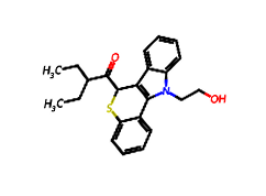 CCC(CC)C(=O)C1Sc2ccccc2-c2c1c1ccccc1n2CCO